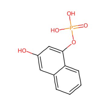 O=P(O)(O)Oc1cc(O)cc2ccccc12